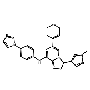 Cn1cc(C2CN=C3C(Nc4ccc(-n5ccnc5)cc4)=NC(C4=CCNCC4)=CN32)cn1